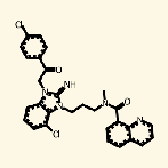 CN(CCCn1c(=N)n(CC(=O)c2ccc(Cl)cc2)c2cccc(Cl)c21)C(=O)c1cccc2cccnc12